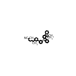 C=C(C#N)/C=C\C=C(/C)C1=CCCC(c2cccc(-n3c4ccccc4c4c5c(ccc43)C3C=CC=CC3[Si]5(C)C)c2)=C1